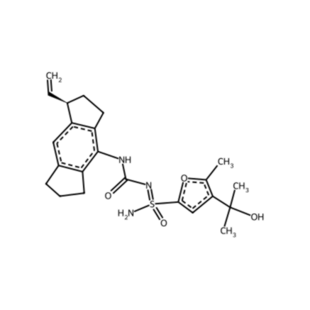 C=C[C@H]1CCc2c1cc1c(c2NC(=O)N=S(N)(=O)c2cc(C(C)(C)O)c(C)o2)CCC1